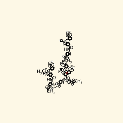 CCS(=O)(=O)c1ccc(CN(Cc2ccc(S(=O)(=O)CC)cn2)C(=O)c2ccc3c(c2)N=C(C2(F)CC2)[N+]3(Cc2cccc3c2OC(F)(F)O3)Cc2cccc3c2OC(F)(F)O3)nc1.CCS(=O)(=O)c1ccc(CNC(=O)c2ccc3c(c2)nc(C(C)(F)F)n3Cc2cccc3c2OC(F)(F)O3)nc1.CCS(=O)(=O)c1ccc(CNC(=O)c2ccc3c(c2)nc(C2CCC2)n3Cc2cccc3c2OC(F)(F)O3)nc1